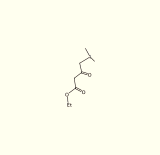 CCOC(=O)CC(=O)CI(C)C